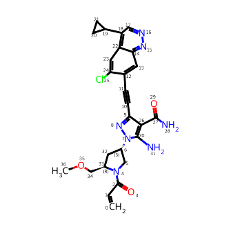 C=CC(=O)N1C[C@@H](n2nc(C#Cc3cc4nncc(C5CC5)c4cc3Cl)c(C(N)=O)c2N)C[C@@H]1COC